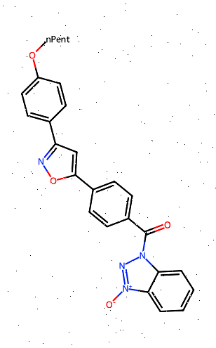 CCCCCOc1ccc(-c2cc(-c3ccc(C(=O)n4n[n+]([O-])c5ccccc54)cc3)on2)cc1